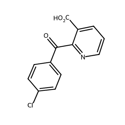 O=C(O)c1cccnc1C(=O)c1ccc(Cl)cc1